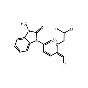 C\C=C(/C=C\C(=C/CC)OCC(CC)CC)n1c(=O)n(C)c2ccccc21